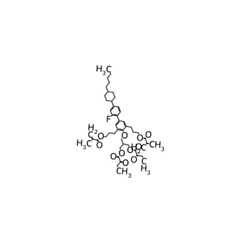 C=C(C)C(=O)OCCCc1cc(-c2ccc(C3CCC(CCCCC)CC3)cc2F)cc(CCCOC(=O)C(=C)C)c1OCC(COC(=O)C(=O)CC)COC(=O)C(=O)CC